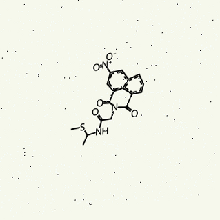 CSC(C)NC(=O)CN1C(=O)c2cccc3cc([N+](=O)[O-])cc(c23)C1=O